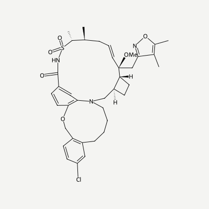 CO[C@]1(Cc2noc(C)c2C)/C=C/C[C@H](C)[C@@H](C)S(=O)(=O)NC(=O)c2ccc3c(c2)N(CCCCc2cc(Cl)ccc2CO3)C[C@@H]2CC[C@H]21